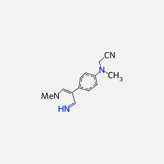 CN/C=C(\C=N)c1ccc(N(C)CC#N)cc1